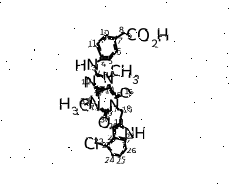 Cn1c(Nc2ccc(CC(=O)O)cc2)nc2c1c(=O)n(Cc1cc3c(Cl)cccc3[nH]1)c(=O)n2C